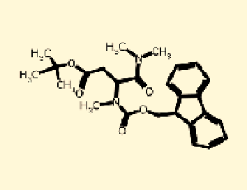 CN(C)C(=O)C(CC(=O)OC(C)(C)C)N(C)C(=O)OCC1c2ccccc2-c2ccccc21